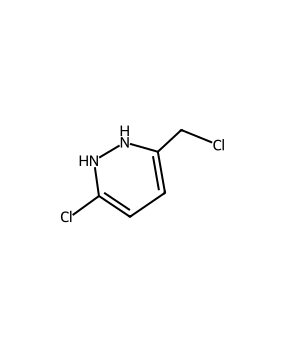 ClCC1=CC=C(Cl)NN1